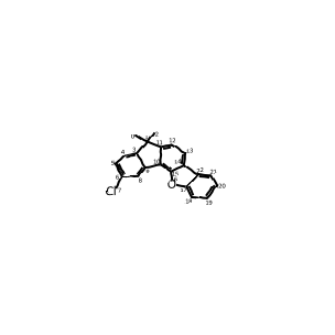 CC1(C)c2ccc(Cl)cc2-c2c1ccc1c2oc2ccccc21